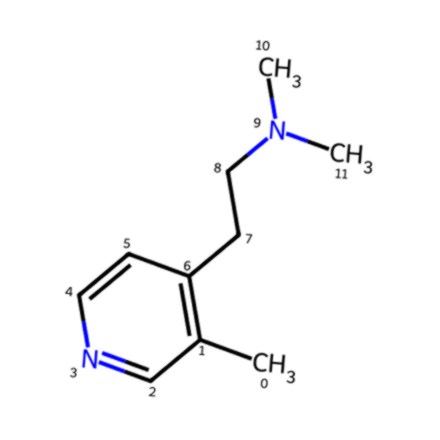 Cc1cnccc1CCN(C)C